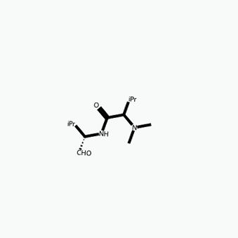 CC(C)C(C(=O)N[C@H](C=O)C(C)C)N(C)C